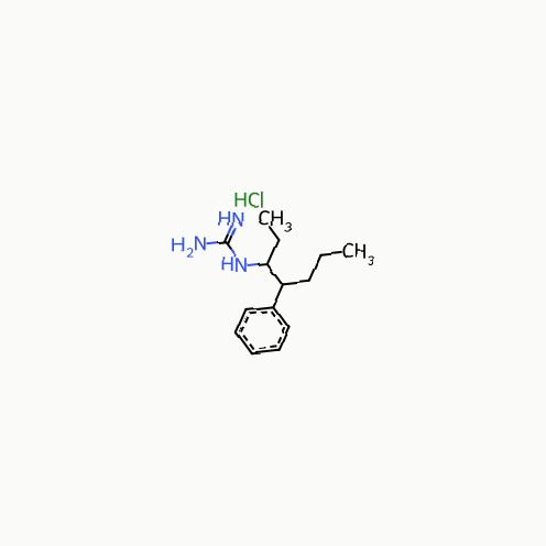 CCCC(c1ccccc1)C(CC)NC(=N)N.Cl